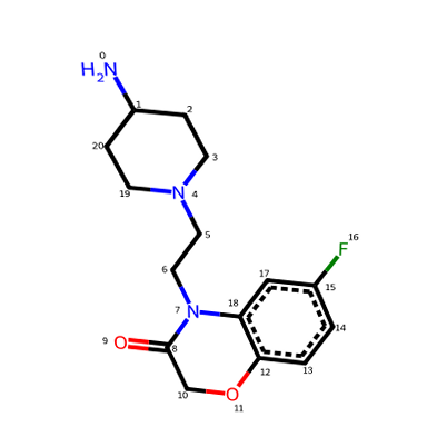 NC1CCN(CCN2C(=O)COc3ccc(F)cc32)CC1